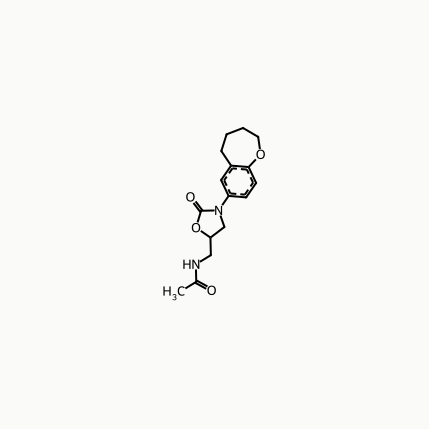 CC(=O)NCC1CN(c2ccc3c(c2)CCCCO3)C(=O)O1